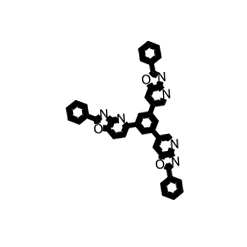 c1ccc(-c2nc3ncc(-c4cc(-c5cnc6nc(-c7ccccc7)oc6c5)cc(-c5ccc6oc(-c7ccccc7)nc6n5)c4)cc3o2)cc1